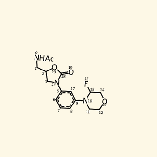 CC(=O)NCC1CN(c2cccc(N3CCOCC3F)c2)C(=O)O1